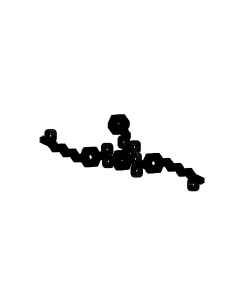 O=C(OCc1ccccc1)c1cc(OC(=O)C2CCC(CCCCCC3CO3)CC2)ccc1OC(=O)C1CCC(CCCCCC2CO2)CC1